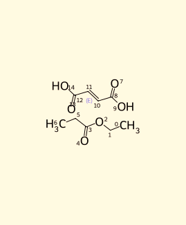 CCOC(=O)CC.O=C(O)/C=C/C(=O)O